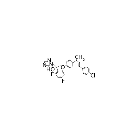 C=C(/C=C/c1ccc(Cl)cc1)c1ccc(OC[C@@](O)(Cn2cncn2)c2ccc(F)cc2F)cc1